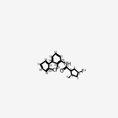 C[C@@H]1C[C@H](F)CC1C(=O)Nc1cccc(-c2ccccc2Cl)c1F